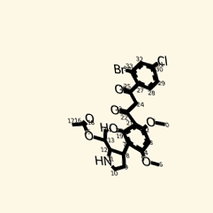 COc1cc(OC)c(C2CCNC2C(C)OC(C)=O)c(O)c1C(=O)CC(=O)c1ccc(Cl)cc1Br